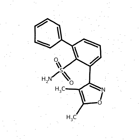 Cc1onc(-c2cccc(-c3ccccc3)c2S(N)(=O)=O)c1C